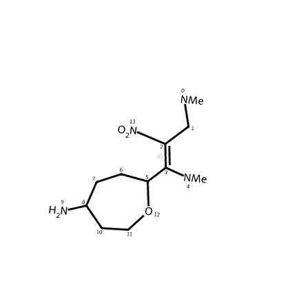 CNC/C(=C(\NC)C1CCC(N)CCO1)[N+](=O)[O-]